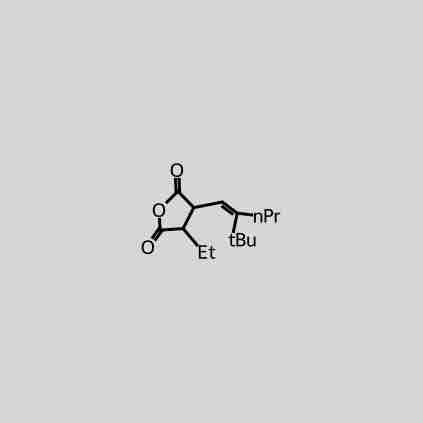 CCCC(=CC1C(=O)OC(=O)C1CC)C(C)(C)C